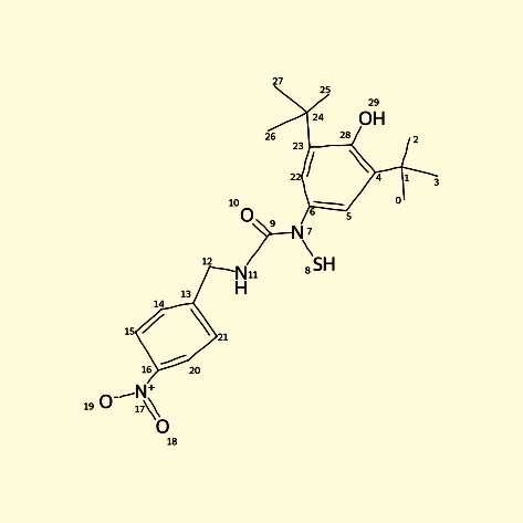 CC(C)(C)c1cc(N(S)C(=O)NCc2ccc([N+](=O)[O-])cc2)cc(C(C)(C)C)c1O